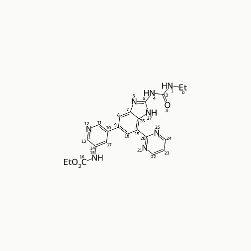 CCNC(=O)Nc1nc2cc(-c3cncc(NC(=O)OCC)c3)cc(-c3ncccn3)c2[nH]1